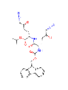 CC(C)OC(=O)[C@H](CCC(=O)C=[N+]=[N-])NC(=O)[C@H](CCC(=O)C=[N+]=[N-])NC(=O)OCC1c2ccccc2-c2ccccc21